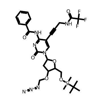 CC(C)(C)[Si](C)(C)OCC1OC(n2cc(C#CCNC(=O)C(F)(F)F)c(NC(=O)c3ccccc3)nc2=O)CC1OCN=[N+]=[N-]